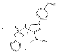 CCOc1ccc(OCC(C)(NS(=O)(=O)Cc2ccccc2)C(=O)N(C)OC)cc1